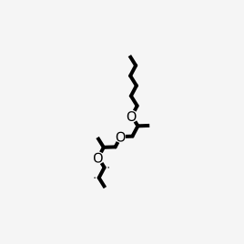 C[CH][CH]OC(C)COCC(C)OCCCCCC